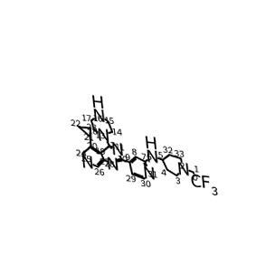 FC(F)(F)CN1CCC(Nc2cc(-c3nc(N4CCNCC4)c4c(C5CC5)cncc4n3)ccn2)CC1